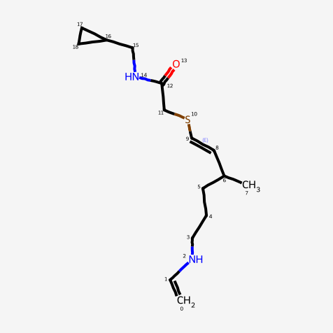 C=CNCCCC(C)/C=C/SCC(=O)NCC1CC1